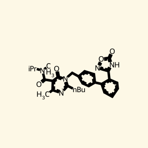 CCCCc1nc(C)c(C(=O)N(C)C(C)C)c(=O)n1Cc1ccc(-c2ccccc2-c2noc(=O)[nH]2)cc1